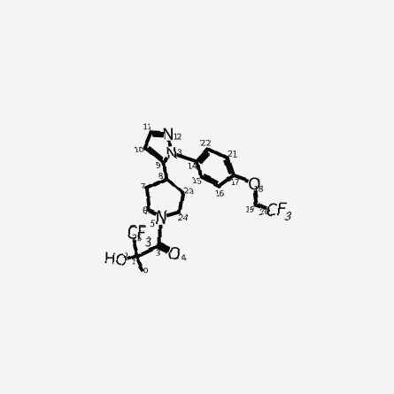 CC(O)(C(=O)N1CCC(c2ccnn2-c2ccc(OCC(F)(F)F)cc2)CC1)C(F)(F)F